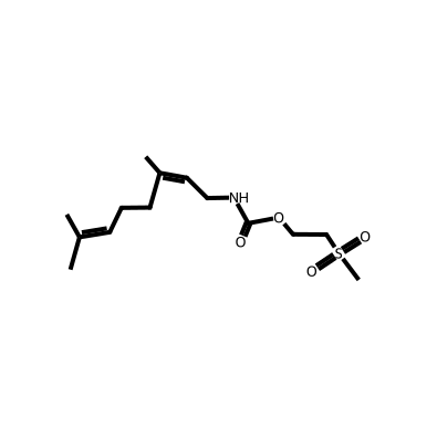 CC(C)=CCC/C(C)=C\CNC(=O)OCCS(C)(=O)=O